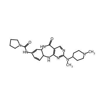 CN1CCC(N(C)c2ncc3c(n2)NC2C=CC(NC(=O)N4CCCC4)=CC2NC3=O)CC1